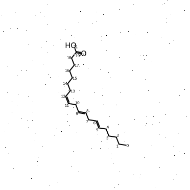 CCCCC/C=C/C/C=C/C/C=C\CCCCCCC(=O)O